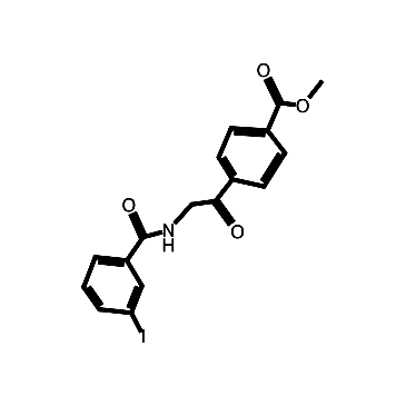 COC(=O)c1ccc(C(=O)CNC(=O)c2cccc(I)c2)cc1